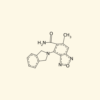 Cc1cc2nonc2c(N2Cc3ccccc3C2)c1C(N)=O